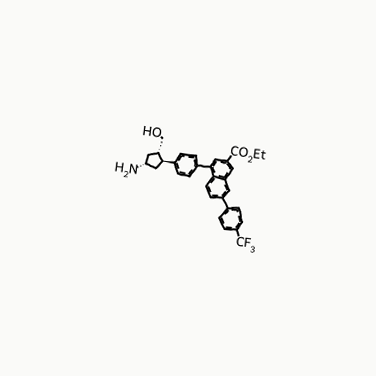 CCOC(=O)c1cc(-c2ccc([C@H]3C[C@H](N)C[C@@H]3CO)cc2)c2ccc(-c3ccc(C(F)(F)F)cc3)cc2c1